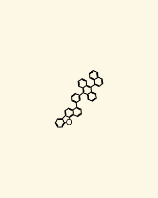 c1cc(-c2c3ccccc3c(-c3cccc4ccccc34)c3ccccc23)cc(-c2cccc3c2ccc2c4ccccc4oc32)c1